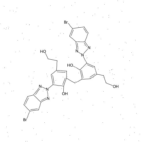 OCCc1cc(Cc2cc(CCO)cc(-n3nc4ccc(Br)cc4n3)c2O)c(O)c(-n2nc3ccc(Br)cc3n2)c1